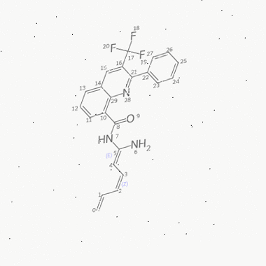 C=C/C=C\C=C(/N)NC(=O)c1cccc2cc(C(F)(F)F)c(-c3ccccc3)nc12